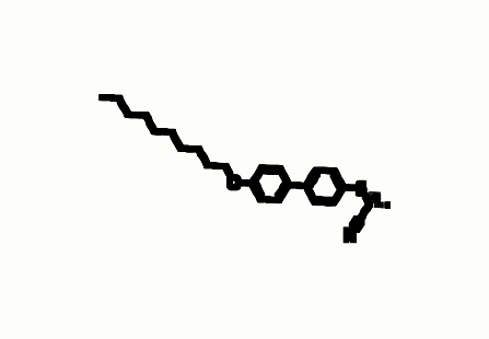 CCCCCCCCCCOc1ccc(-c2ccc(S[C@H](C)C#N)cc2)cc1